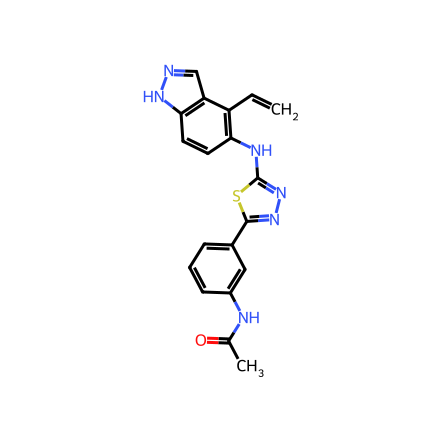 C=Cc1c(Nc2nnc(-c3cccc(NC(C)=O)c3)s2)ccc2[nH]ncc12